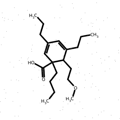 CCCCC1(C(=O)O)C=C(CCC)C=C(CCC)C1CCOC